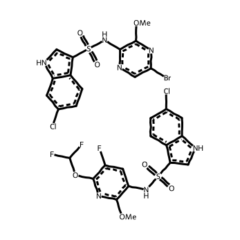 COc1nc(Br)cnc1NS(=O)(=O)c1c[nH]c2cc(Cl)ccc12.COc1nc(OC(F)F)c(F)cc1NS(=O)(=O)c1c[nH]c2cc(Cl)ccc12